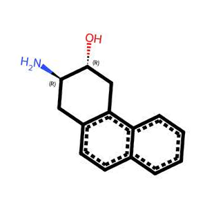 N[C@@H]1Cc2ccc3ccccc3c2C[C@H]1O